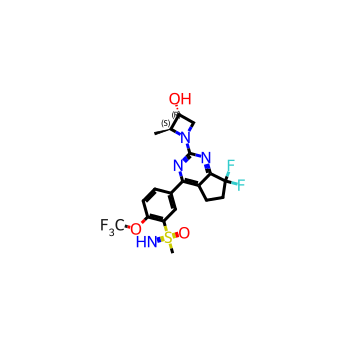 C[C@H]1[C@H](O)CN1c1nc(-c2ccc(OC(F)(F)F)c(S(C)(=N)=O)c2)c2c(n1)C(F)(F)CC2